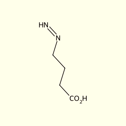 N=NCCCC(=O)O